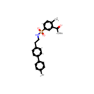 COC(=O)c1cc(S(=O)(=O)NCCc2ccc(-c3ccc(C(C)C)cc3)cc2)ccc1C